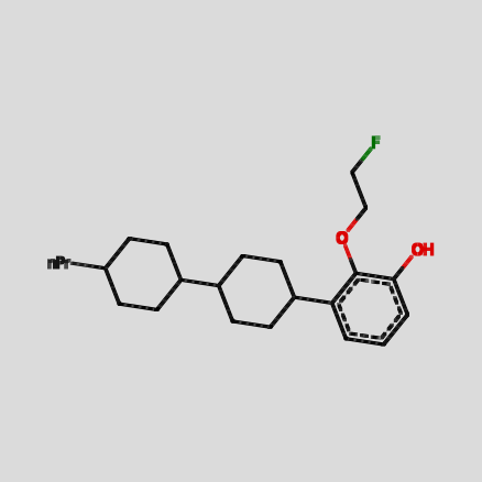 CCCC1CCC(C2CCC(c3cccc(O)c3OCCF)CC2)CC1